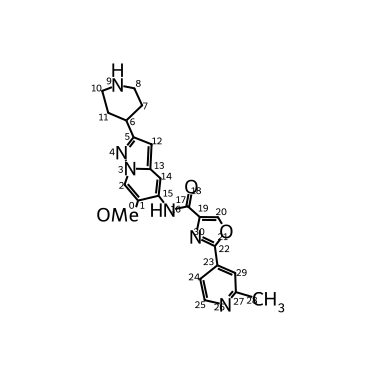 COc1cn2nc(C3CCNCC3)cc2cc1NC(=O)c1coc(-c2ccnc(C)c2)n1